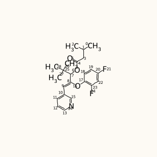 CC(C)CC(=O)OC(C(=Cc1cccnc1)Oc1ccc(F)cc1F)C(C)(C)C